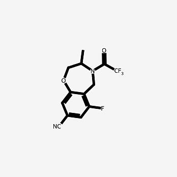 CC1COc2cc(C#N)cc(F)c2CN1C(=O)C(F)(F)F